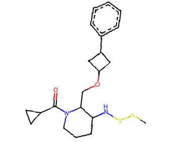 CSSNC1CCCN(C(=O)C2CC2)C1COC1CC(c2ccccc2)C1